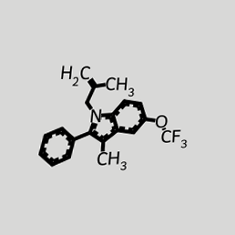 C=C(C)Cn1c(-c2ccccc2)c(C)c2cc(OC(F)(F)F)ccc21